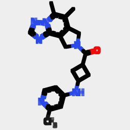 Cc1c2c(c3ncnn3c1C)CN(C(=O)C1CC(Nc3ccnc(C(F)(F)F)c3)C1)C2